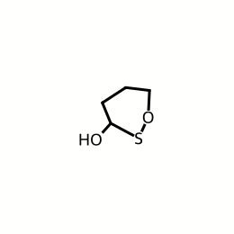 OC1CCCOS1